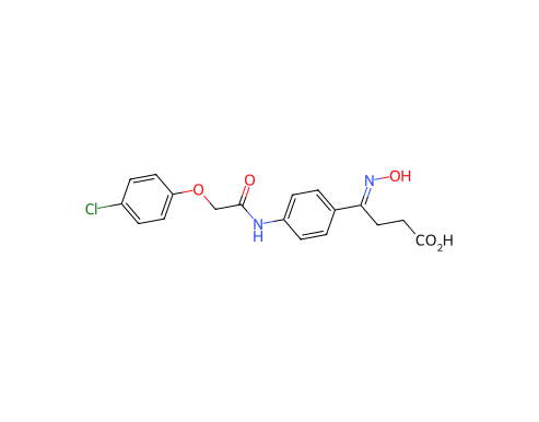 O=C(O)CCC(=NO)c1ccc(NC(=O)COc2ccc(Cl)cc2)cc1